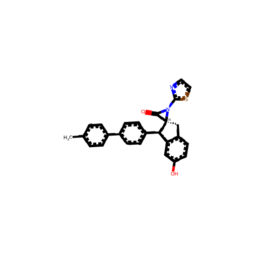 Cc1ccc(-c2ccc(C3c4cc(O)ccc4C[C@@]34C(=O)N4c3nccs3)cc2)cc1